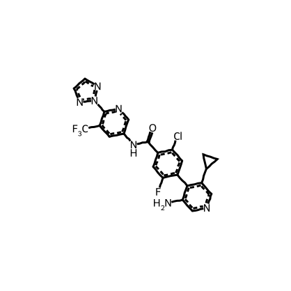 Nc1cncc(C2CC2)c1-c1cc(Cl)c(C(=O)Nc2cnc(-n3nccn3)c(C(F)(F)F)c2)cc1F